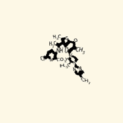 Cc1cnc(N2CCN(c3oc4c(C(C)Nc5ccc(Cl)nc5C(=O)O)c(C)sc4c(=O)c3C)C[C@@H]2C)nc1